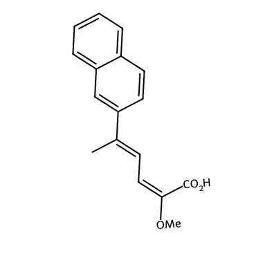 CO/C(=C/C=C(\C)c1ccc2ccccc2c1)C(=O)O